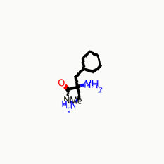 CNC(=O)C(N)(CN)CC1CCCCC1